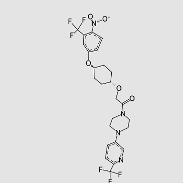 O=C(CO[C@H]1CC[C@H](Oc2ccc([N+](=O)[O-])c(C(F)(F)F)c2)CC1)N1CCN(c2ccc(C(F)(F)F)nc2)CC1